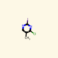 Cc1cnc(I)nc1Cl